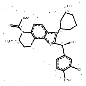 COC(=O)N1c2ccc3c(nc([C@@H](O)c4ccc(OC)c(Cl)c4)n3[C@@H]3CCC[C@@H](C(=O)O)C3)c2CC[C@@H]1C